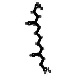 CCCC(=O)CSCSCC(=O)CCC